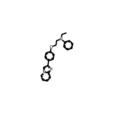 CCN(CCOc1ccc(-c2cn3ccccc3n2)cc1)c1ccccc1